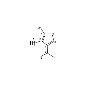 CC1=[C]([Hf])C(C(C)C)=CC1